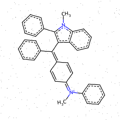 Cn1c(-c2ccccc2)c(C(=C2C=CC(=[N+](C)c3ccccc3)C=C2)c2ccccc2)c2ccccc21